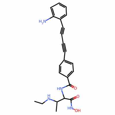 CCNC(C)C(NC(=O)c1ccc(C#CC#Cc2ccccc2N)cc1)C(=O)NO